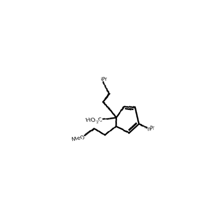 CCCC1=CC(CCOC)C(CCC(C)C)(C(=O)O)C=C1